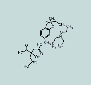 CCC1(C)Oc2ccc(C)cc2O1.CCON(CC)CC.O=C(O)CC(O)(CC(=O)O)C(=O)O